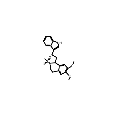 COc1cc2c(cc1OC)C(CCc1c[nH]c3ccccc13)N(S(C)(=O)=O)CC2